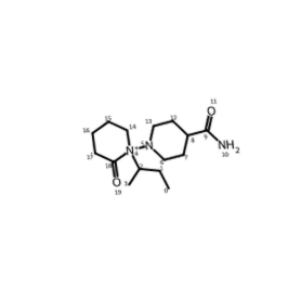 CCC(C)[N+]1(N2CCC(C(N)=O)CC2)CCC[CH]C1=O